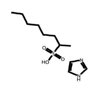 CCCCCCC(C)S(=O)(=O)O.c1c[nH]cn1